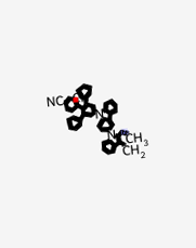 C=Cc1c(/C=C\C)n(-c2ccc3c(c2)c2ccccc2n3-c2cc(-c3ccccc3)c(-c3ccc(C#N)cc3C#N)c(-c3ccccc3)c2)c2ccccc12